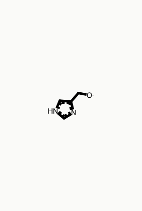 [O]Cc1c[nH]cn1